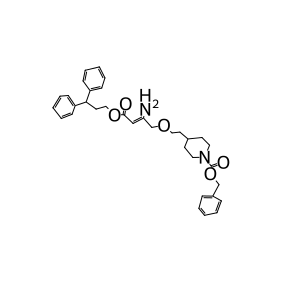 NC(=CC(=O)OCCC(c1ccccc1)c1ccccc1)COCCC1CCN(C(=O)OCc2ccccc2)CC1